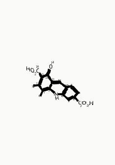 Cc1c2[nH]c3cc(C(=O)O)ccc3cc-2c(=O)c(C(=O)O)c1C